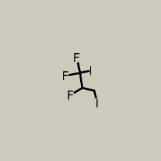 FC(CI)C(F)(F)I